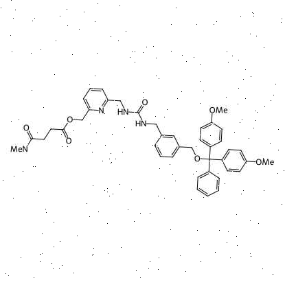 CNC(=O)CCC(=O)OCc1cccc(CNC(=O)NCc2cccc(COC(c3ccccc3)(c3ccc(OC)cc3)c3ccc(OC)cc3)c2)n1